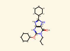 CCCn1c(OC2CCCCC2)nc2nc(C3CCCCC3)[nH]c2c1=O